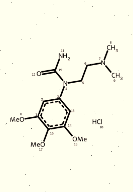 COc1cc(N(CCN(C)C)C(N)=O)cc(OC)c1OC.Cl